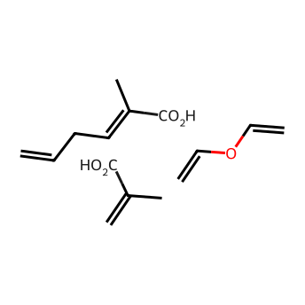 C=C(C)C(=O)O.C=CCC=C(C)C(=O)O.C=COC=C